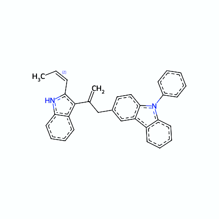 C=C(Cc1ccc2c(c1)c1ccccc1n2-c1ccccc1)c1c(/C=C\C)[nH]c2ccccc12